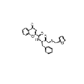 O=C(NC(Cc1ccccc1)C(=O)CSCc1ccco1)c1cc(=O)c2ccccc2o1